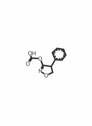 O=C(O)OC1=NOCC1c1ccccc1